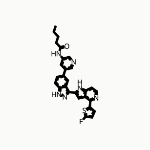 CCCCC(=O)Nc1cncc(-c2ccc3[nH]nc(-c4cc5c(-c6ccc(F)s6)nccc5[nH]4)c3c2)c1